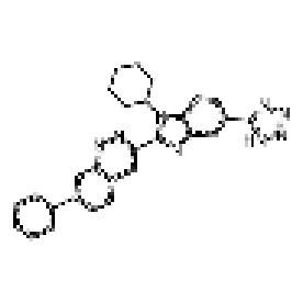 c1ccc(-c2ccc3cc(-c4nc5cc(-c6nnn[nH]6)ccc5n4C4CCCCC4)nnc3c2)cc1